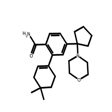 CC1(C)CC=C(c2cc(C3(N4CCOCC4)CCCC3)ccc2C(N)=O)CC1